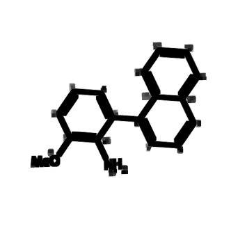 COc1cccc(-c2cccc3ccccc23)c1N